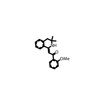 COc1ccccc1C(=O)C=C1NC(C)(C)Cc2ccccc21